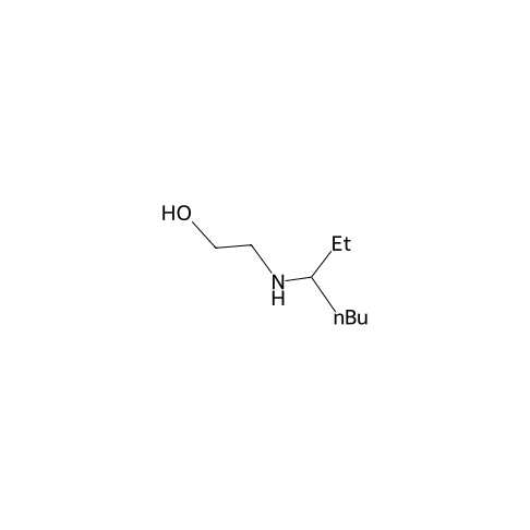 CCCCC(CC)NCCO